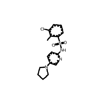 Cc1c(Cl)cccc1S(=O)(=O)Nc1ccc(N2CCCC2)cn1